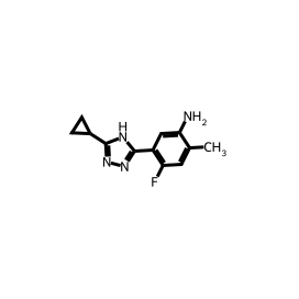 Cc1cc(F)c(-c2nnc(C3CC3)[nH]2)cc1N